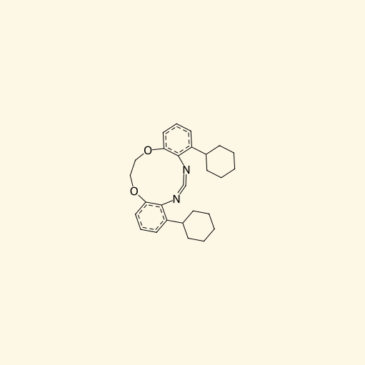 C1=Nc2c(cccc2C2CCCCC2)OCCOc2cccc(C3CCCCC3)c2N=1